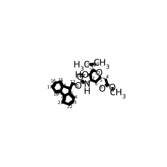 COC(=O)C[C@@H]1C[C@H](NC(=O)OCC2c3ccccc3-c3ccccc32)[C@@H](O)[C@H](C(C)C)O1